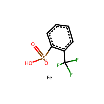 O=S(=O)(O)c1ccccc1C(F)(F)F.[Fe]